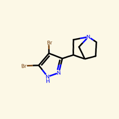 Brc1[nH]nc(C2CN3CCC2C3)c1Br